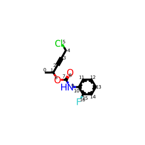 CC(C#CCCl)OC(=O)Nc1ccccc1F